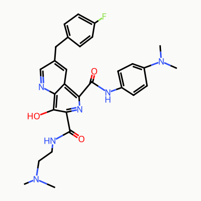 CN(C)CCNC(=O)c1nc(C(=O)Nc2ccc(N(C)C)cc2)c2cc(Cc3ccc(F)cc3)cnc2c1O